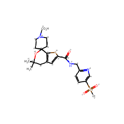 CCS(=O)(=O)c1ccc(CNC(=O)c2cc3c(s2)C2(CCN(C(=O)O)CC2)OC(C)(C)C3)nc1